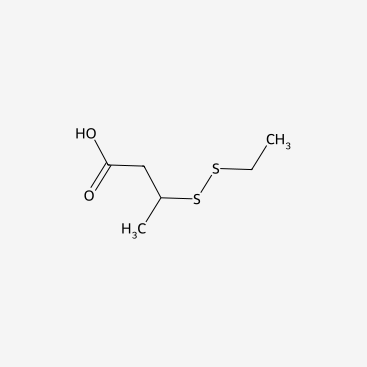 CCSSC(C)CC(=O)O